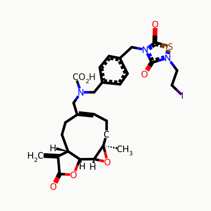 C=C1C(=O)O[C@H]2[C@H]1CC/C(CN(Cc1ccc(Cn3c(=O)sn(CCI)c3=O)cc1)C(=O)O)=C\CC[C@@]1(C)O[C@@H]21